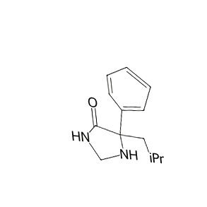 CC(C)CC1(c2ccccc2)NCNC1=O